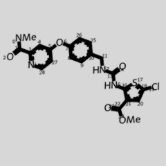 CNC(=O)c1cc(Oc2ccc(CNC(=O)Nc3sc(Cl)cc3C(=O)OC)cc2)ccn1